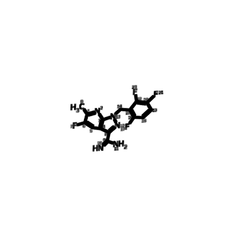 Cc1nc2c(cc1F)c(C(=N)N)nn2Cc1c(F)ccc(F)c1F